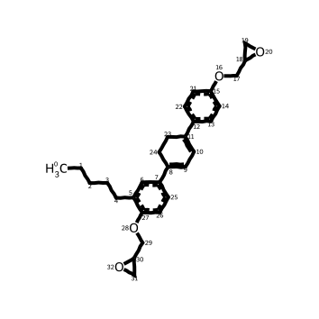 CCCCCc1cc(C2=CC=C(c3ccc(OCC4CO4)cc3)CC2)ccc1OCC1CO1